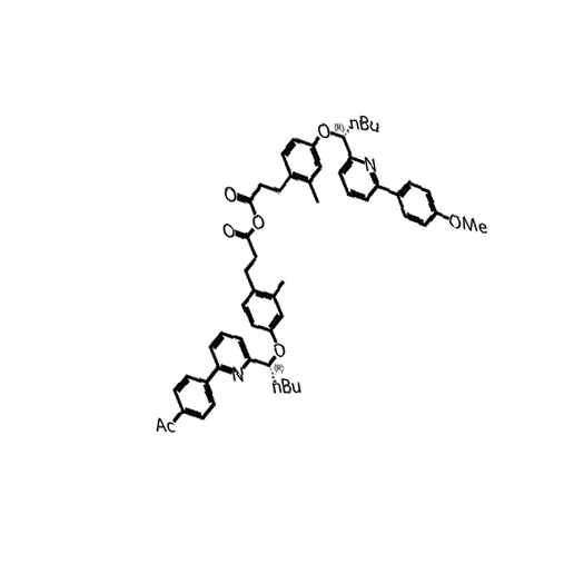 CCCC[C@@H](Oc1ccc(CCC(=O)OC(=O)CCc2ccc(O[C@H](CCCC)c3cccc(-c4ccc(C(C)=O)cc4)n3)cc2C)c(C)c1)c1cccc(-c2ccc(OC)cc2)n1